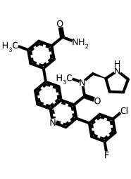 Cc1cc(C(N)=O)cc(-c2ccc3ncc(-c4cc(F)cc(Cl)c4)c(C(=O)N(C)C[C@@H]4CCCN4)c3c2)c1